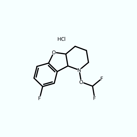 Cl.Fc1ccc2c(c1)C1C(CCCN1OC(F)F)O2